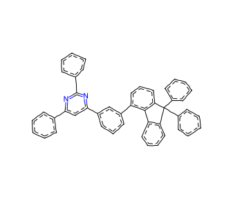 c1ccc(-c2cc(-c3cccc(-c4cccc5c4-c4ccccc4C5(c4ccccc4)c4ccccc4)c3)nc(-c3ccccc3)n2)cc1